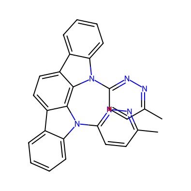 Cc1ccc(-n2c3ccccc3c3ccc4c5ccccc5n(-c5ccc(C)nn5)c4c32)nn1